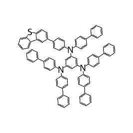 c1ccc(-c2ccc(N(c3ccc(-c4ccccc4)cc3)c3cc(N(c4ccc(-c5ccccc5)cc4)c4ccc(-c5ccccc5)cc4)cc(N(c4ccc(-c5ccccc5)cc4)c4ccc(-c5ccc6sc7ccccc7c6c5)cc4)c3)cc2)cc1